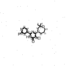 CC1(C)CN(c2nc(-c3ccnc(F)c3)[nH]c(=O)c2Cl)CCCO1